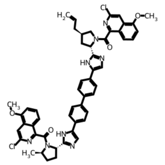 C=CC[C@@H]1C[C@@H](c2ncc(-c3ccc(-c4ccc(-c5cnc([C@@H]6CC[C@@H](C)N6C(=O)c6nc(Cl)cc7c(OC)cccc67)[nH]5)cc4)cc3)[nH]2)N(C(=O)c2nc(Cl)cc3c(OC)cccc23)C1